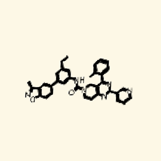 CCc1cc(NC(=O)N2CCc3nc(-c4cccnc4)nc(-c4ccccc4C)c3C2)cc(-c2ccc3onc(C)c3c2)c1